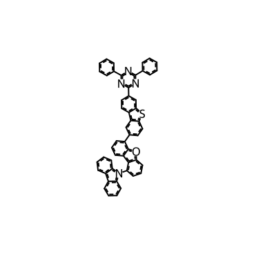 c1ccc(-c2nc(-c3ccccc3)nc(-c3ccc4c(c3)sc3ccc(-c5cccc6c5oc5cccc(-n7c8ccccc8c8ccccc87)c56)cc34)n2)cc1